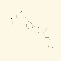 COC[C@H](c1ccnc(NC(=O)[C@@H](N)C2CCC(C(F)(F)F)CC2)c1)N1C[C@@H](C(F)(F)F)NC1=O